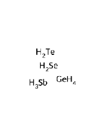 [GeH4].[SbH3].[SeH2].[TeH2]